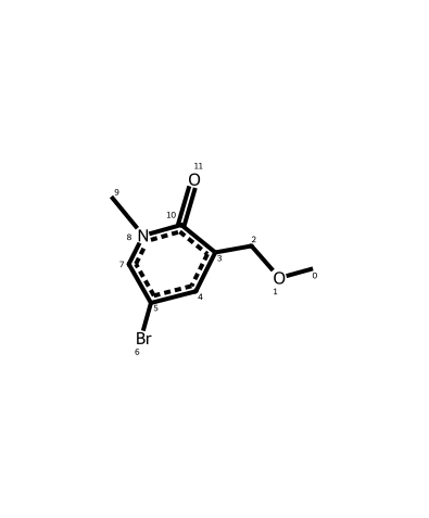 COCc1cc(Br)cn(C)c1=O